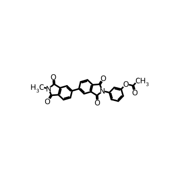 CC(=O)Oc1cccc(N2C(=O)c3ccc(-c4ccc5c(c4)C(=O)N(C)C5=O)cc3C2=O)c1